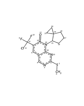 CSc1ncc2cc(C(F)(F)Cl)c(=O)n(C3CCCC34CC4)c2n1